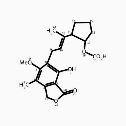 COc1c(C)c2c(c(O)c1C/C=C(\C)C1CCCC1OC(=O)O)C(=O)OC2